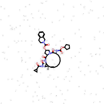 O=C(N[C@H]1CCCCC/C=C\[C@@H]2C[C@@]2(C(=O)NC(=O)C2CC2)NC(=O)C2C[C@@H](OC(=O)N3CCc4ccccc4C3)CN2C1=O)OC1CCCC1